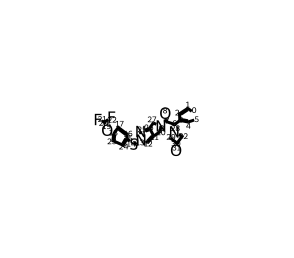 C/C=C\C(=C/C)C(C(=O)N1Cc2cn(Sc3ccc(OC(F)F)cc3)nc2C1)N1CC(=O)C1